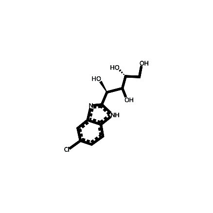 OC[C@@H](O)C(O)[C@H](O)c1nc2cc(Cl)ccc2[nH]1